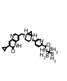 BC(B)(B)NC(=O)c1ccc(N2CCN(Cc3cnc4cc(C5CC5)c(=O)[nH]c4c3)[C@H]3C[C@H]32)cn1